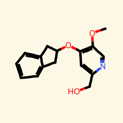 COc1cnc(CO)cc1OC1Cc2ccccc2C1